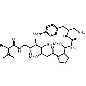 CCC(C)C(C(CC(=O)N1CCCC1C(OC)[C@@H](C)C(=O)NC(CN)Cc1ccc(NC)cc1)OC)N(C)C(=O)CNC(=O)C(C(C)C)N(C)C